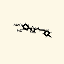 COc1ccc(-c2nc(CCCc3ccc(C)cc3)co2)cc1O